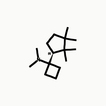 CN(C)C1([C@@H]2CCC(C)(C)C2(C)C)CCC1